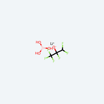 OB(O)O.[Li+].[O-]C(F)(C(F)F)C(F)(F)F